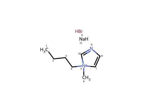 Br.CCCC[N+]1(C)C=CN=C1.[NaH]